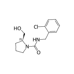 O=C(NCc1ccccc1Cl)N1CCC[C@H]1CO